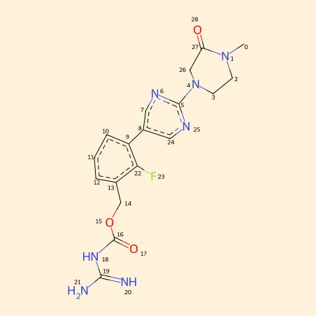 CN1CCN(c2ncc(-c3cccc(COC(=O)NC(=N)N)c3F)cn2)CC1=O